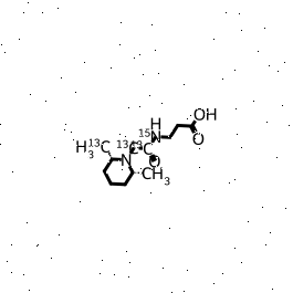 C[C@@H]1CCC[C@H]([13CH3])N1[13CH2][13C](=O)[15NH]CCC(=O)O